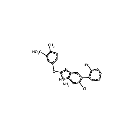 Cc1ccc(Oc2nc3cc(-c4ccccc4C(C)C)c(Cl)cc3[nH]2)cc1C(=O)O.N